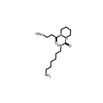 CCCCCCCCCCCCC(=O)N1CCCC[C@H]1C(=O)NCCCCCCN